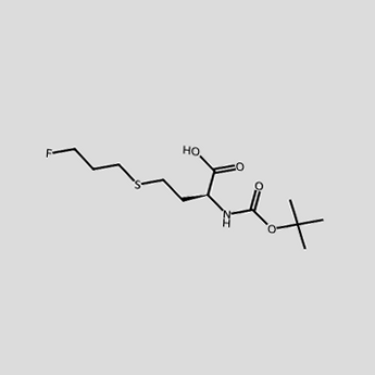 CC(C)(C)OC(=O)N[C@@H](CCSCCCF)C(=O)O